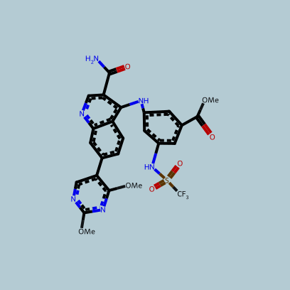 COC(=O)c1cc(Nc2c(C(N)=O)cnc3cc(-c4cnc(OC)nc4OC)ccc23)cc(NS(=O)(=O)C(F)(F)F)c1